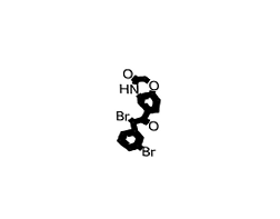 O=C1COc2ccc(C(=O)C(Br)c3cccc(Br)c3)cc2N1